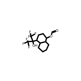 O=COC1CCC(C(O)(C(F)(F)F)C(F)(F)F)C2CCCCC12